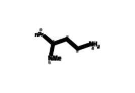 CCCC(CCN)NC